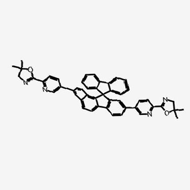 CC1(C)CN=C(c2ccc(-c3ccc4c(c3)C3(c5ccccc5-c5ccccc53)c3c-4ccc4cc(-c5ccc(C6=NCC(C)(C)O6)nc5)ccc34)cn2)O1